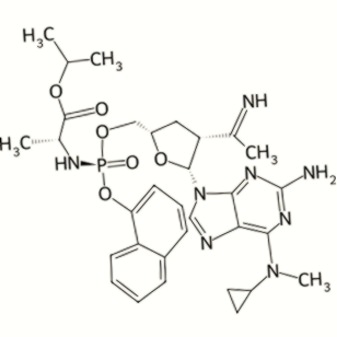 CC(=N)[C@H]1C[C@@H](CO[P@@](=O)(N[C@H](C)C(=O)OC(C)C)Oc2cccc3ccccc23)O[C@H]1n1cnc2c(N(C)C3CC3)nc(N)nc21